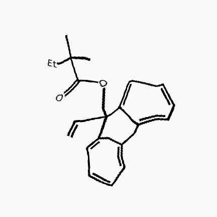 C=CC1(OC(=O)C(C)(C)CC)c2ccccc2-c2ccccc21